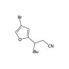 CCC(C)C(CC#N)c1cc(Br)co1